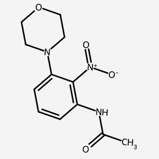 CC(=O)Nc1cccc(N2CCOCC2)c1[N+](=O)[O-]